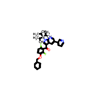 CC(C)[Si](C(C)C)(C(C)C)n1cc(C(=O)c2c(F)ccc(OCc3ccccc3)c2F)c2cc(-c3cccnc3)cnc21